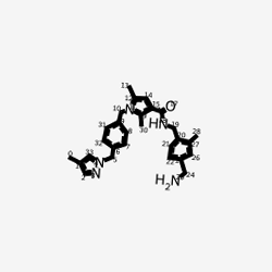 Cc1cnn(Cc2ccc(Cn3c(C)cc(C(=O)NCc4ccc(CN)cc4C)c3C)cc2)c1